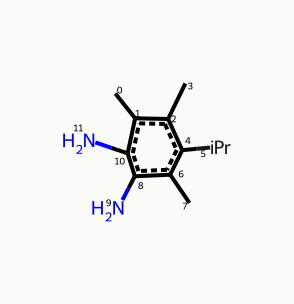 Cc1c(C)c(C(C)C)c(C)c(N)c1N